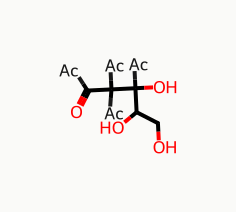 CC(=O)C(=O)C(C(C)=O)(C(C)=O)C(O)(C(C)=O)C(O)CO